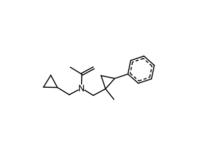 C=C(C)N(CC1CC1)CC1(C)CC1c1ccccc1